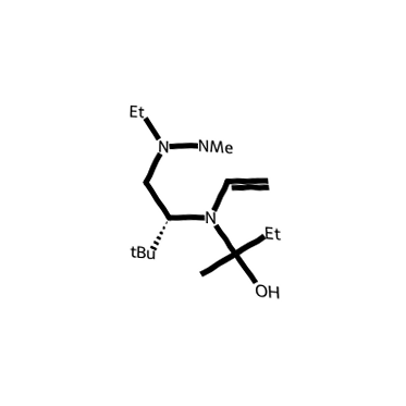 C=CN([C@@H](CN(CC)NC)C(C)(C)C)C(C)(O)CC